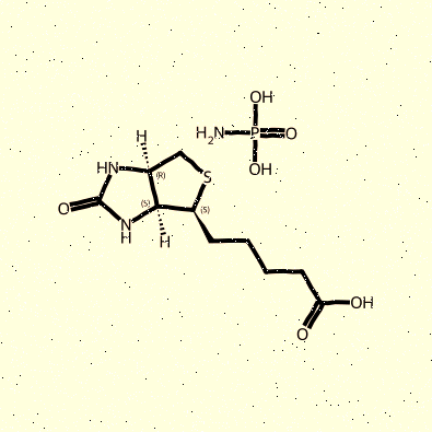 NP(=O)(O)O.O=C(O)CCCC[C@@H]1SC[C@@H]2NC(=O)N[C@@H]21